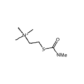 CNC(=O)SCC[N+](C)(C)C